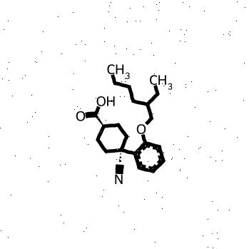 CCCCC(CC)COc1ccccc1[C@]1(C#N)CC[C@H](C(=O)O)CC1